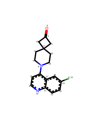 O=C1CC2(CCN(c3ccnc4ccc(F)cc34)CC2)C1